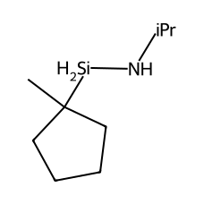 CC(C)N[SiH2]C1(C)CCCC1